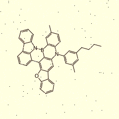 CCCCc1cc(C)cc(N2c3ccc(C)cc3B3c4c2cc2c(oc5ccccc52)c4-c2cccc4c5ccccc5n3c24)c1